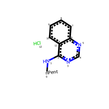 CCCCCNc1ncnc2ccccc12.Cl